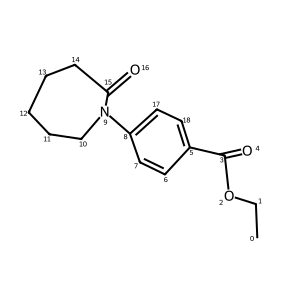 CCOC(=O)c1ccc(N2CCCCCC2=O)cc1